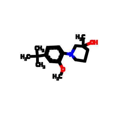 COc1cc(C(C)(C)C)ccc1N1CCCC(C)(O)C1